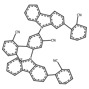 N#Cc1ccccc1-c1ccc2c3ccccc3n(-c3cc(-c4c(C#N)cccc4C(F)(F)F)c(-n4c5ccccc5c5ccc(-c6ccccc6C#N)cc54)cc3C#N)c2c1